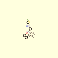 CC(c1cccc2ccccc12)C1ON=C(c2cccc(NCc3ccc(Cl)s3)c2)N1C